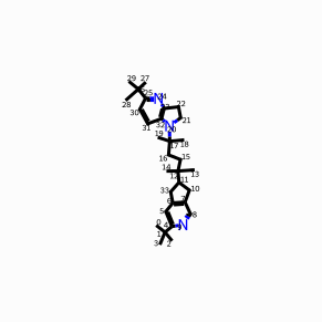 CC(C)(C)c1cc2c(cn1)CC(C(C)(C)CCC(C)(C)N1CCc3nc(C(C)(C)C)ccc31)C2